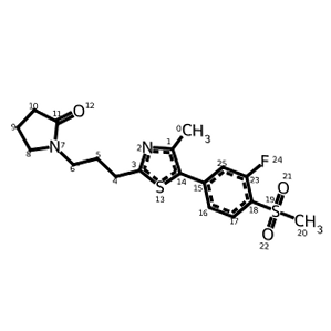 Cc1nc(CC[CH]N2CCCC2=O)sc1-c1ccc(S(C)(=O)=O)c(F)c1